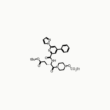 CCOC(=O)ON1CCN(C(=O)[C@H](CCC(=O)OC(C)(C)C)NC(=O)c2cc(-c3ccccc3)cc(-n3cccn3)n2)CC1